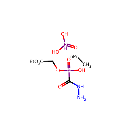 CCCC.CCOC(=O)COP(=O)(O)C(=O)NN.O=[PH](O)O